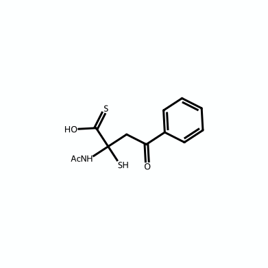 CC(=O)NC(S)(CC(=O)c1ccccc1)C(O)=S